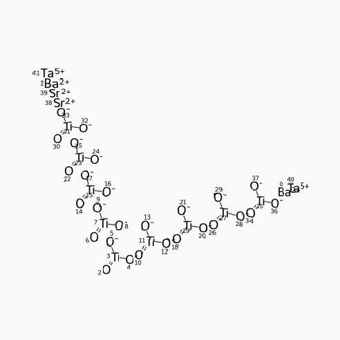 [Ba+2].[Ba+2].[O]=[Ti]([O-])[O-].[O]=[Ti]([O-])[O-].[O]=[Ti]([O-])[O-].[O]=[Ti]([O-])[O-].[O]=[Ti]([O-])[O-].[O]=[Ti]([O-])[O-].[O]=[Ti]([O-])[O-].[O]=[Ti]([O-])[O-].[O]=[Ti]([O-])[O-].[Sr+2].[Sr+2].[Ta+5].[Ta+5]